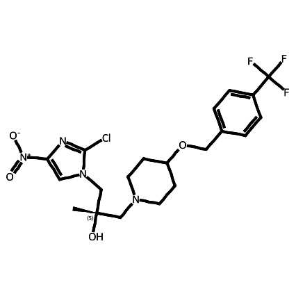 C[C@](O)(CN1CCC(OCc2ccc(C(F)(F)F)cc2)CC1)Cn1cc([N+](=O)[O-])nc1Cl